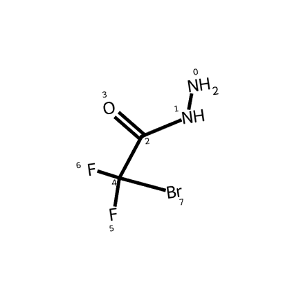 NNC(=O)C(F)(F)Br